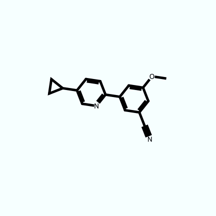 COc1cc(C#N)cc(-c2ccc(C3CC3)cn2)c1